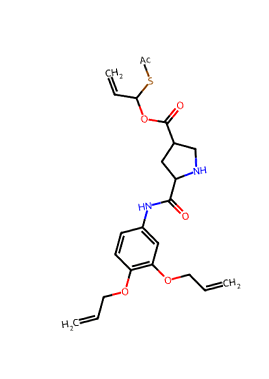 C=CCOc1ccc(NC(=O)C2CC(C(=O)OC(C=C)SC(C)=O)CN2)cc1OCC=C